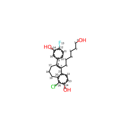 OCCCCCCC1=C(c2ccc(F)c(O)c2)CCCc2c1ccc(O)c2Cl